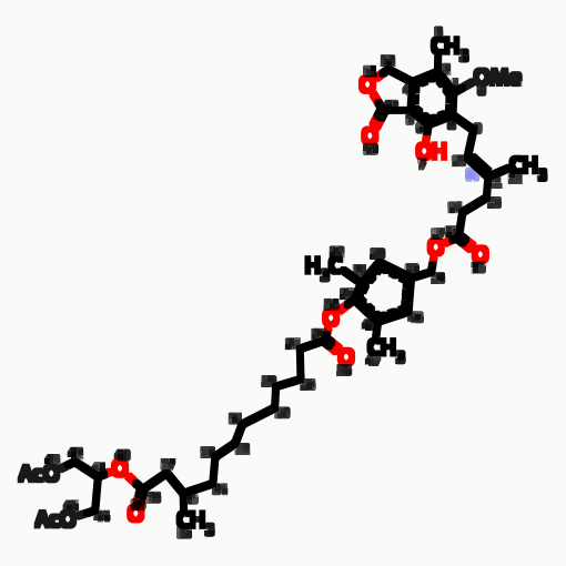 COc1c(C)c2c(c(O)c1C/C=C(\C)CCC(=O)OCc1cc(C)c(OC(=O)CCCCCCCCC(C)CC(=O)OC(COC(C)=O)COC(C)=O)c(C)c1)C(=O)OC2